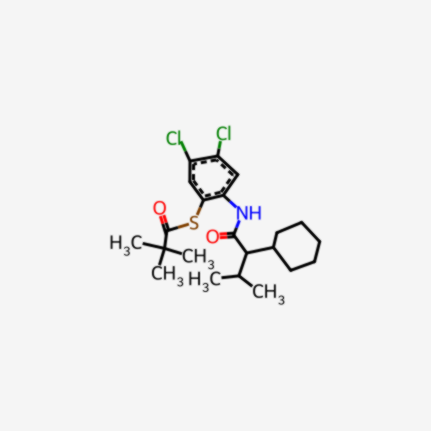 CC(C)C(C(=O)Nc1cc(Cl)c(Cl)cc1SC(=O)C(C)(C)C)C1CCCCC1